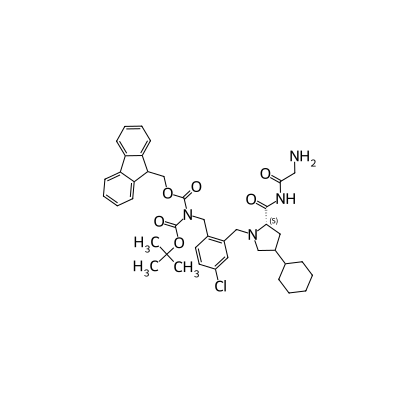 CC(C)(C)OC(=O)N(Cc1ccc(Cl)cc1CN1CC(C2CCCCC2)C[C@H]1C(=O)NC(=O)CN)C(=O)OCC1c2ccccc2-c2ccccc21